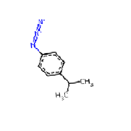 CC(C)c1ccc(N=[N+]=[N-])cc1